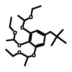 CCOC(C)Oc1cc(CC(C)(C)C)cc(OC(C)OCC)c1OC(C)OCC